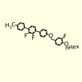 CCCCCCOc1ccc(COc2ccc(-c3ccc(-c4ccc(C)cc4)c(F)c3F)cc2)cc1F